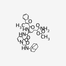 CC(=O)OC(CC[C@H](NC(=O)c1oc2ccccc2c1C)C(=O)Nc1cccn(CC(=O)NC2C3CC4CC(C3)CC2C4)c1=O)C(N)=O